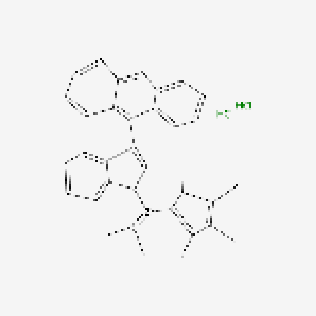 CC1=C(C)C(C)[C]([Zr]([CH]2C=C(c3c4ccccc4cc4ccccc34)c3ccccc32)=[Si](C)C)=C1C.Cl.Cl